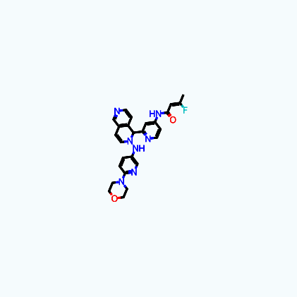 C/C(F)=C/C(=O)Nc1ccnc(C2c3ccncc3C=CN2Nc2ccc(N3CCOCC3)nc2)c1